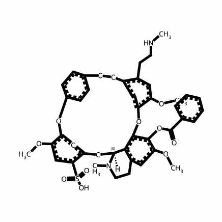 CNCCc1cc(OC)c2cc1CCc1ccc(cc1)Oc1cc(c(S(=O)(=O)O)cc1OC)C[C@H]1c3c(cc(OC)c(OC(=O)c4ccccc4)c3O2)CCN1C